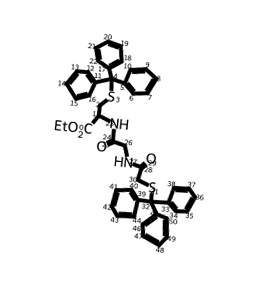 CCOC(=O)C(CSC(c1ccccc1)(c1ccccc1)c1ccccc1)NC(=O)CNC(=O)CSC(c1ccccc1)(c1ccccc1)c1ccccc1